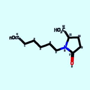 CCCCCCCCCCCCCN1C(=O)CCC1C(=O)O